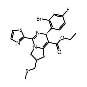 CCOC(=O)C1=C2CC(CSC)CN2C(c2nccs2)=N[C@H]1c1ccc(F)cc1Br